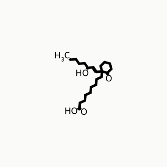 CCCCCC(O)C=CC1(CCCCCCCCC(=O)O)CCCCC1=O